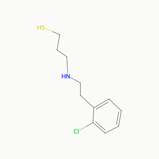 SCCCNCCc1ccccc1Cl